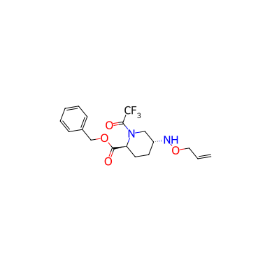 C=CCON[C@@H]1CC[C@@H](C(=O)OCc2ccccc2)N(C(=O)C(F)(F)F)C1